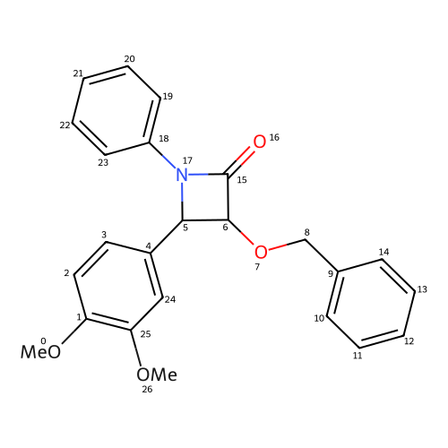 COc1ccc(C2C(OCc3ccccc3)C(=O)N2c2ccccc2)cc1OC